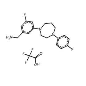 NCc1cc(F)cc(N2CCCN(c3ccc(F)cc3)CC2)c1.O=C(O)C(F)(F)F